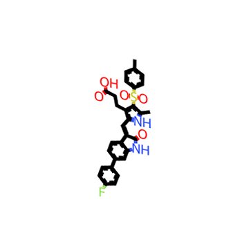 Cc1ccc(S(=O)(=O)c2c(C)[nH]c(/C=C3\C(=O)Nc4cc(-c5ccc(F)cc5)ccc43)c2CCC(=O)O)cc1